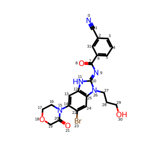 N#Cc1cccc(C(=O)/N=c2\[nH]c3cc(N4CCOCC4=O)c(Br)cc3n2CCCO)c1